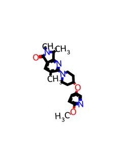 COc1ccc(OC2CCN(c3nc4c(cc3C)C(=O)N(C)C4C)CC2)cn1